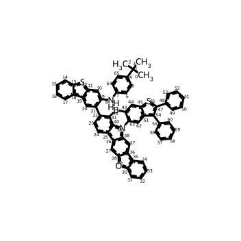 CC(C)(C)c1ccc(Nc2cc3sc4ccccc4c3cc2-c2ccc3c4cc5oc6ccccc6c5cc4n4c3c2Bc2cc3sc(-c5ccccc5)c(-c5ccccc5)c3cc2-4)cc1